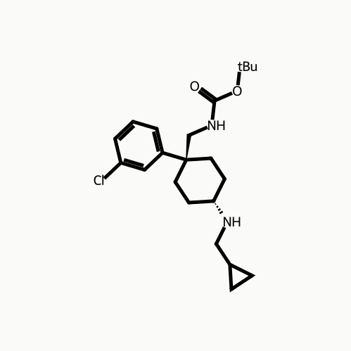 CC(C)(C)OC(=O)NC[C@]1(c2cccc(Cl)c2)CC[C@@H](NCC2CC2)CC1